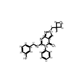 CC1(Cn2cc3c(=O)n(-c4ccccc4)c(SCc4cccc(F)c4)nc3n2)COC1